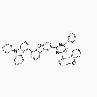 c1ccc(-c2nc(-c3ccc4oc5c(-c6cccc7c6c6ccccc6n7-c6ccccc6)cccc5c4c3)nc(-c3cccc4oc5ccccc5c34)n2)cc1